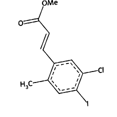 COC(=O)C=Cc1cc(Cl)c(I)cc1C